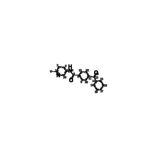 Cc1ccc(NC(=O)c2ccc(C(=O)c3ccccc3)cc2)cn1